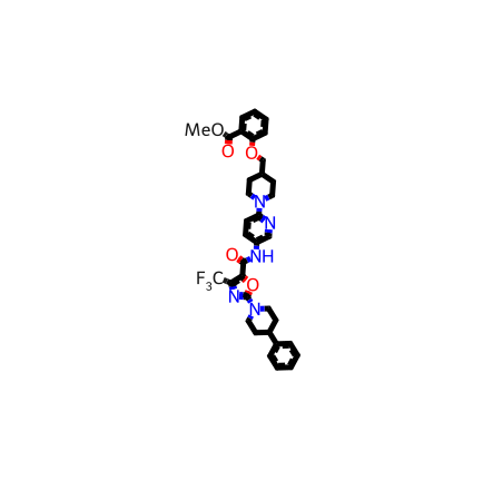 COC(=O)c1ccccc1OCC1CCN(c2ccc(NC(=O)c3oc(N4CCC(c5ccccc5)CC4)nc3C(F)(F)F)cn2)CC1